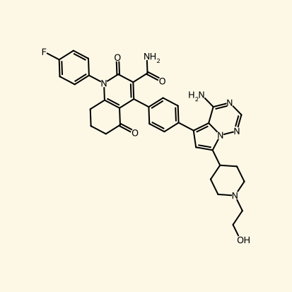 NC(=O)c1c(-c2ccc(-c3cc(C4CCN(CCO)CC4)n4ncnc(N)c34)cc2)c2c(n(-c3ccc(F)cc3)c1=O)CCCC2=O